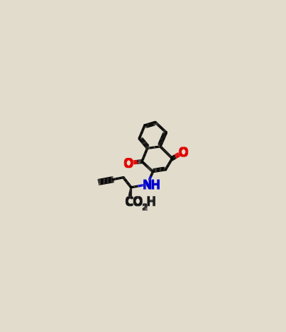 C#CC[C@@H](NC1=CC(=O)c2ccccc2C1=O)C(=O)O